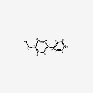 CCc1ccc(-c2ccncc2)cc1